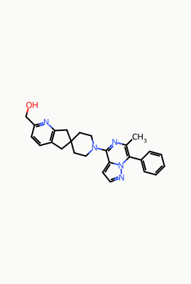 Cc1nc(N2CCC3(CC2)Cc2ccc(CO)nc2C3)c2ccnn2c1-c1ccccc1